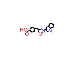 C/C(=C\c1ccc(C(=O)O)cc1)CN(C=O)c1cnc2ccccc2c1